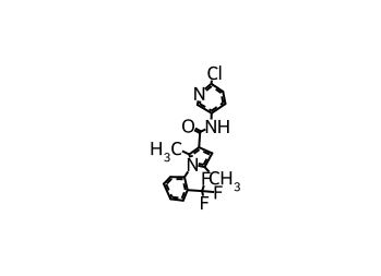 Cc1cc(C(=O)Nc2ccc(Cl)nc2)c(C)n1-c1ccccc1C(F)(F)F